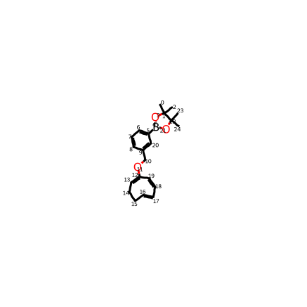 CC1(C)OB(c2cccc(COC3=C/CC/C=C/C=C\3)c2)OC1(C)C